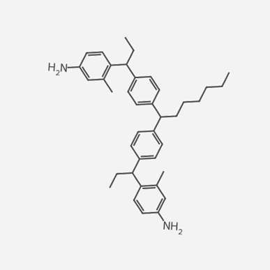 CCCCCCC(c1ccc(C(CC)c2ccc(N)cc2C)cc1)c1ccc(C(CC)c2ccc(N)cc2C)cc1